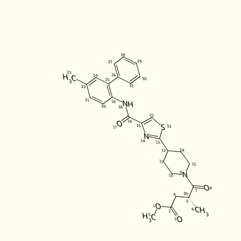 COC(=O)C[C@@H](C)C(=O)N1CCC(c2nc(C(=O)Nc3ccc(C)cc3-c3ccccc3)cs2)CC1